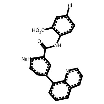 O=C(Nc1ccc(Cl)cc1C(=O)O)c1cccc(-c2cccc3cccnc23)c1.[NaH]